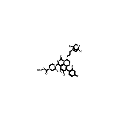 C[C@H]1CN(C(=O)OC(C)(C)C)CCN1c1nc(=O)n2c3c(c(-c4ccc(F)cc4F)c(Cl)cc13)SC[C@H]2CCCN1C[C@@H]2C[C@H]1CO2